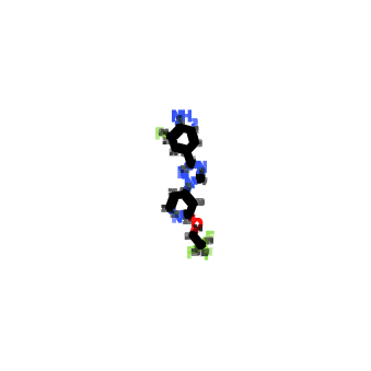 Nc1ccc(-c2ncn(-c3ccnc(OCC(F)(F)F)c3)n2)cc1F